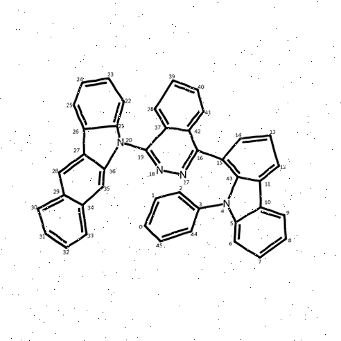 c1ccc(-n2c3ccccc3c3cccc(-c4nnc(-n5c6ccccc6c6cc7ccccc7cc65)c5ccccc45)c32)cc1